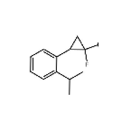 CC(C)c1ccccc1C1CC1(F)F